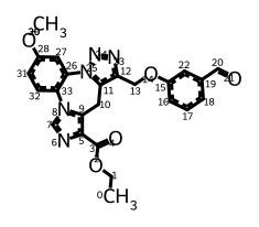 CCOC(=O)c1ncn2c1Cc1c(COc3cccc(C=O)c3)nnn1-c1cc(OC)ccc1-2